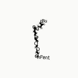 CCCCCOCCOCCOCCOCCCC(=O)OCCC(C)CC(C)(C)C